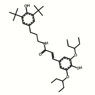 CCC(CC)Oc1cc(/C=C/C(=O)NCCCc2cc(C(C)(C)C)c(O)c(C(C)(C)C)c2)cc(OC(CC)CC)c1O